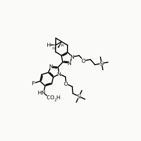 C[C@@]12Cc3c(c(-c4nc5cc(F)c(NC(=O)O)cc5n4COCC[Si](C)(C)C)nn3COCC[Si](C)(C)C)C[C@@H]1C2